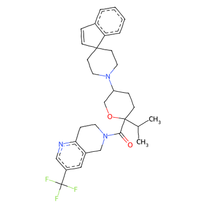 CC(C)C1(C(=O)N2CCc3ncc(C(F)(F)F)cc3C2)CCC(N2CCC3(C=Cc4ccccc43)CC2)CO1